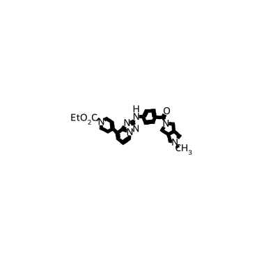 CCOC(=O)N1CC=C(c2cccn3nc(Nc4ccc(C(=O)N5CC6CN(C)CC6C5)cc4)nc23)CC1